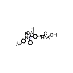 C[C@H](CO)NC(=O)C#Cc1ccc2c(c1)NC(=O)/C2=C(\Nc1ccc(CN(C)C)cc1)C1=CCCC=C1